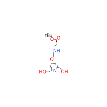 CC(C)(C)OC(=O)CCNCCOc1cc(CO)nc(CO)c1